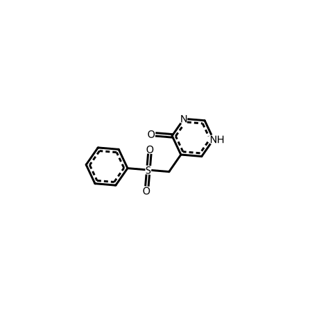 O=c1nc[nH]cc1CS(=O)(=O)c1ccccc1